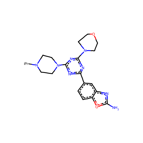 CC(C)N1CCN(c2nc(-c3ccc4oc(N)nc4c3)nc(N3CCOCC3)n2)CC1